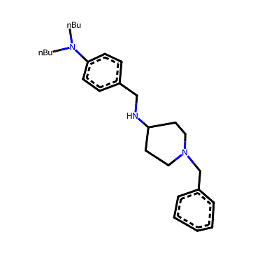 CCCCN(CCCC)c1ccc(CNC2CCN(Cc3ccccc3)CC2)cc1